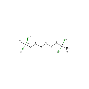 CCC(F)(F)CC[CH]CCCC(C)(F)F